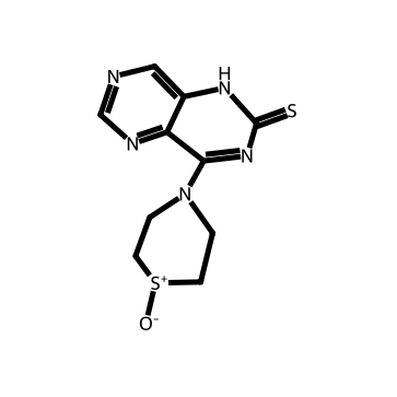 [O-][S+]1CCN(c2nc(=S)[nH]c3cncnc23)CC1